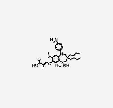 CCCCC1(CCCC)CN(c2ccc(N)cc2)c2cc(SC)c(O/C=C(\F)C(=O)O)cc2S(O)(O)C1